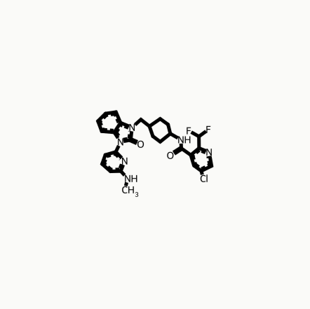 CNc1cccc(-n2c(=O)n(CC3CCC(NC(=O)c4cc(Cl)cnc4C(F)F)CC3)c3ccccc32)n1